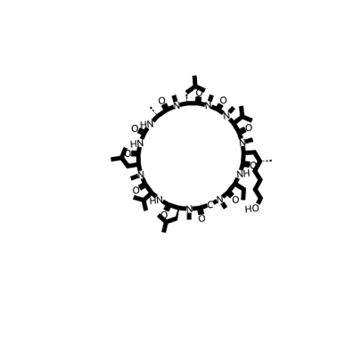 CCC1NC(=O)C(C[C@H](C)CCCCO)N(C)C(=O)C(C(C)C)N(C)C(=O)N(C)C(=O)[C@@H](CC(C)C)N(C)C(=O)[C@@H](C)NC(=O)NC(=O)C(CC(C)C)N(C)C(=O)C(C(C)C)NC(=O)[C@H](CC(C)C)N(C)C(=O)CN(C)C1=O